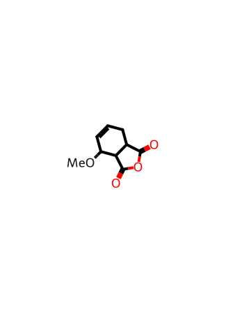 COC1C=CCC2C(=O)OC(=O)C12